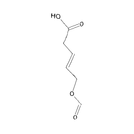 O=COCC=CCC(=O)O